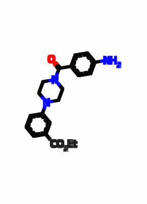 CCOC(=O)c1cccc(N2CCN(C(=O)c3ccc(N)cc3)CC2)c1